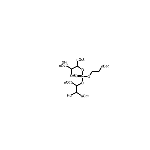 CCCCCCCCCCCCOP(=O)(OC(CCCCCCCC)C(O)CCCCCCCC)OC(CCCCCCCC)C(O)CCCCCCCC.N